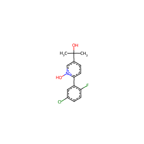 CC(C)(O)c1ccc(-c2cc(Cl)ccc2F)[n+](O)c1